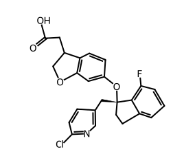 O=C(O)CC1COc2cc(O[C@@]3(Cc4ccc(Cl)nc4)CCc4cccc(F)c43)ccc21